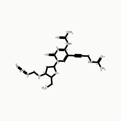 CCC1OC(n2cc(C#CCNC(C)=O)c(NC(C)=O)nc2=O)CC1OCN=[N+]=[N-]